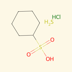 Cl.O=S(=O)(O)C1CCCCC1.S